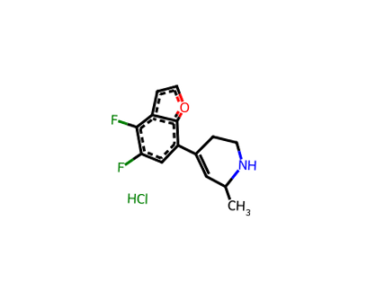 CC1C=C(c2cc(F)c(F)c3ccoc23)CCN1.Cl